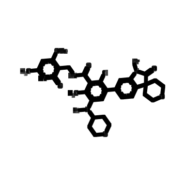 CCN(c1cc(-c2ccc3c(c2)N(C(C)C)C(=O)C32CCOCC2)c(Cl)c(C(=O)NCc2c(OC)cc(C)[nH]c2=O)c1C)C1CCOCC1